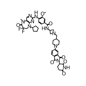 COc1cc(C(=O)NC2CN(CC3CCN(c4ccc5c(c4)C(=O)N(C4CCC(=O)NC4=O)C5=O)CC3)C2)ccc1Nc1ncc2c(n1)N(C1CCCC1)CC(F)(F)C(=O)N2C